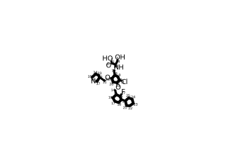 O=C(O)C(CO)NCc1cc(Cl)c(OCc2cccc(-c3ccccc3)c2F)cc1OCc1cccnc1